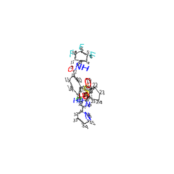 O=C(Nc1cc(F)c(F)c(F)c1)c1ccc(Cl)c(S(=O)(=O)C2C3CCC2[C@@](O)(c2nc(-c4ccccn4)c[nH]2)C3)c1